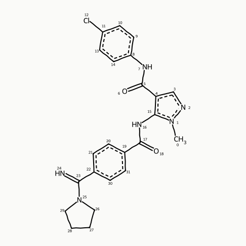 Cn1ncc(C(=O)Nc2ccc(Cl)cc2)c1NC(=O)c1ccc(C(=N)N2CCCC2)cc1